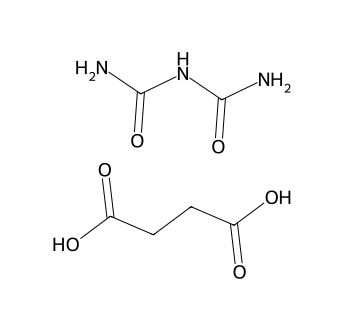 NC(=O)NC(N)=O.O=C(O)CCC(=O)O